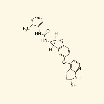 N=C1CCc2c(Oc3ccc4c(c3)[C@H]3[C@H](NC(=O)Nc5ccccc5C(F)(F)F)[C@H]3O4)ccnc2N1